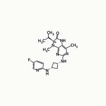 Cc1nc(N[C@H]2C[C@@H](Nc3ccc(F)cn3)C2)nc2c1NC(=O)[C@H](C(C)C)N2C